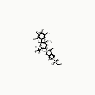 CCS(=O)(=O)n1cc2c(n1)CN([C@@H]1C[C@](C)(N)[C@@](C)(c3cc(F)c(C)c(C)c3F)O[C@]1(C)C(F)(F)F)C2C